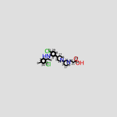 Cc1ccc(C(C)Nc2cc(C3CCN([C@H]4CCCN(CCC(=O)O)C4)CC3)ccc2Cl)c(Cl)c1